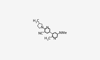 CNc1cnc(C)c(-c2cnc(N3CCC(C)C3)c(C#N)c2)c1